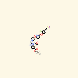 COC(=O)c1ccc2nc(CN3CCC(Oc4cccc(COc5ccc(C#CSI)cc5F)n4)CC3)n(C[C@@H]3CCO3)c2c1